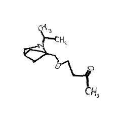 CC(=O)CCOCC12CC(CN1C(C)C)C2